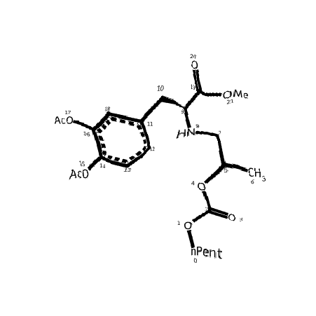 CCCCCOC(=O)OC(C)CN[C@@H](Cc1ccc(OC(C)=O)c(OC(C)=O)c1)C(=O)OC